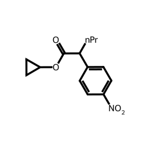 CCCC(C(=O)OC1CC1)c1ccc([N+](=O)[O-])cc1